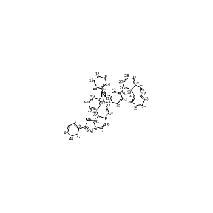 c1ccc(-c2nc3ccc4ccc5c(N(c6ccccc6)c6cccc(-c7cccc8sc9ccccc9c78)c6)cccc5c4c3s2)cc1